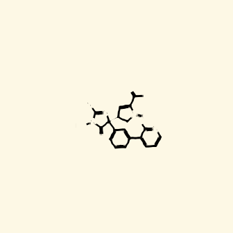 CCC(=O)C1=CC([C@]2(c3cccc(-c4cccnc4F)c3)N=C(N)N(C)C2=O)CN1CC